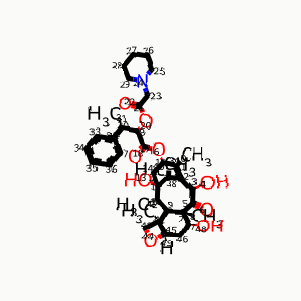 CC1=C2[C@@H](O)C(=O)[C@@]3(C)C([C@H](C)[C@](O)(C[C@@H]1OC(=O)[C@H](OC(=O)CN1CCCCC1)[C@@H](C)c1ccccc1)C2(C)C)[C@]1(C)CO[C@@H]1C[C@@H]3O